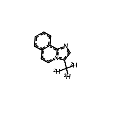 [2H]C([2H])([2H])c1cnc2c3ccccc3ccn12